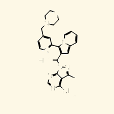 CC(c1cc2ccccn2c1-c1cc(CN2CCOCC2)ccn1)n1nc(I)c2c(N)ncnc21